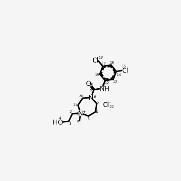 C[N+]1(CCO)CCCN(C(=O)Nc2cc(Cl)cc(Cl)c2)CC1.[Cl-]